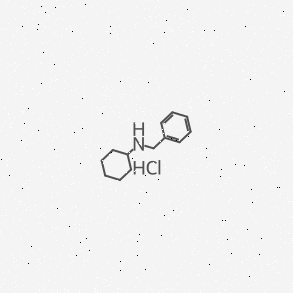 Cl.c1ccc(CNC2CCCCC2)cc1